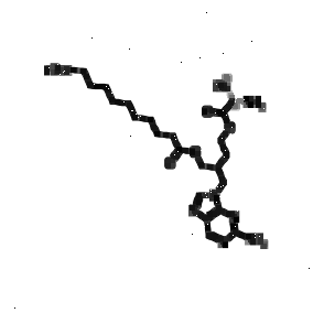 CCCCCCCCCCCCCCCCCCCC(=O)OCC(CCOC(=O)[C@@H](N)[C@@H](C)CC)Cn1cnc2cnc(N)nc21